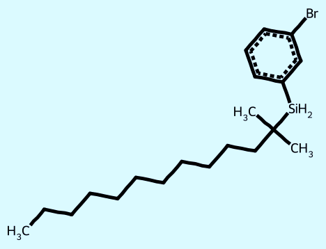 CCCCCCCCCCCC(C)(C)[SiH2]c1cccc(Br)c1